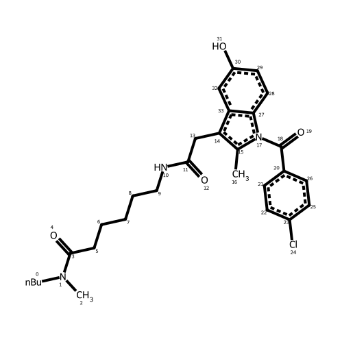 CCCCN(C)C(=O)CCCCCNC(=O)Cc1c(C)n(C(=O)c2ccc(Cl)cc2)c2ccc(O)cc12